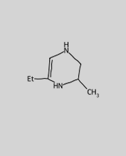 CCC1=CNCC(C)N1